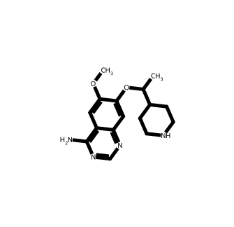 COc1cc2c(N)ncnc2cc1OC(C)C1CCNCC1